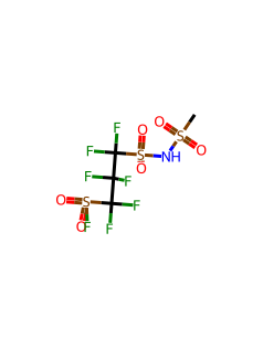 CS(=O)(=O)NS(=O)(=O)C(F)(F)C(F)(F)C(F)(F)S(=O)(=O)F